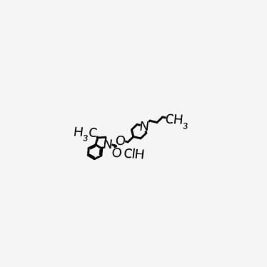 CCCCN1CCC(COC(=O)N2CC(C)c3ccccc32)CC1.Cl